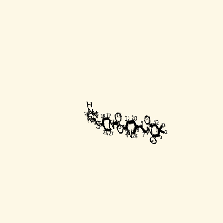 CC1(C)CC(=O)N(CCc2ccc(OC(=O)N3CCC(Sc4nc[nH]n4)CC3)nc2)C(=O)C1